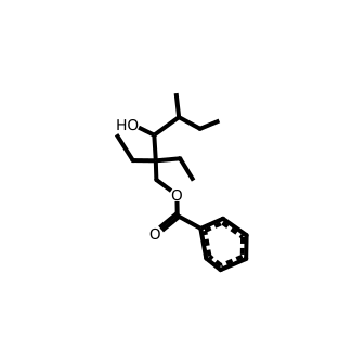 CCC(C)C(O)C(CC)(CC)COC(=O)c1ccccc1